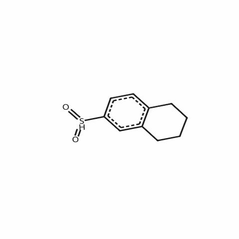 O=[SH](=O)c1ccc2c(c1)CCCC2